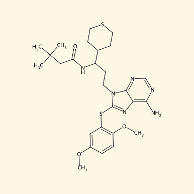 COc1ccc(OC)c(Sc2nc3c(N)ncnc3n2CCC(NC(=O)CC(C)(C)C)C2CCSCC2)c1